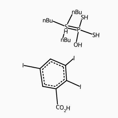 CCCC[SH](CCCC)(CCCC)=P(O)(S)S.O=C(O)c1cc(I)cc(I)c1I